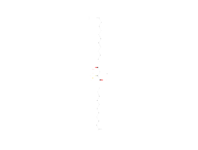 CC(C)CCCCCCCCCCOC(=O)CC(C(=O)OCCCCCCCCCCC(C)C)S(=O)(=O)[O-].[K+]